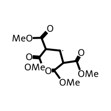 COC(=O)C([CH]C(C(=O)OC)C(=O)OC)C(=O)OC